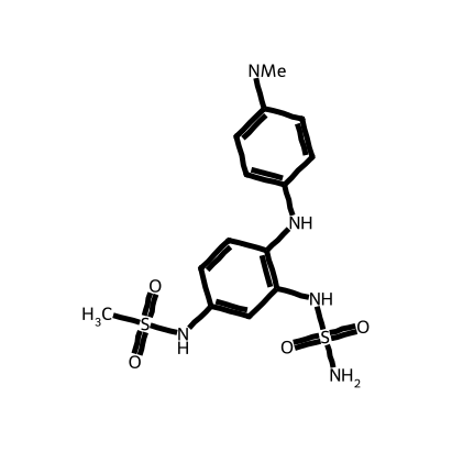 CNc1ccc(Nc2ccc(NS(C)(=O)=O)cc2NS(N)(=O)=O)cc1